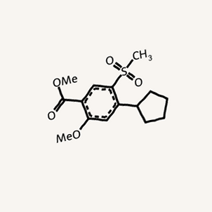 COC(=O)c1cc(S(C)(=O)=O)c(C2CCCC2)cc1OC